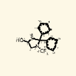 OC1CN(C(F)(F)F)C(c2ccccc2)(c2ccccc2)S1